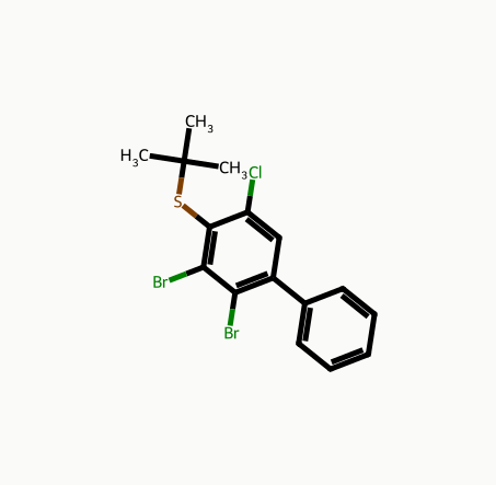 CC(C)(C)Sc1c(Cl)cc(-c2ccccc2)c(Br)c1Br